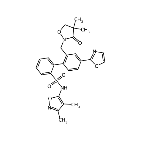 Cc1noc(NS(=O)(=O)c2ccccc2-c2ccc(-c3ncco3)cc2CN2OCC(C)(C)C2=O)c1C